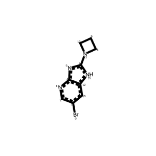 Brc1cnc2nc(N3CCC3)[nH]c2c1